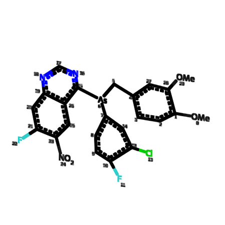 COc1ccc(C[As](c2ccc(F)c(Cl)c2)c2ncnc3cc(F)c([N+](=O)[O-])cc23)cc1OC